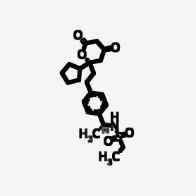 CCS(=O)(=O)N[C@H](C)c1ccc(CCC2(C3CCCC3)CC(=O)CC(=O)O2)cc1